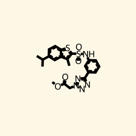 COC(=O)Cn1nnc(-c2cccc(NS(=O)(=O)c3sc4ccc(C(C)C)cc4c3C)c2)n1